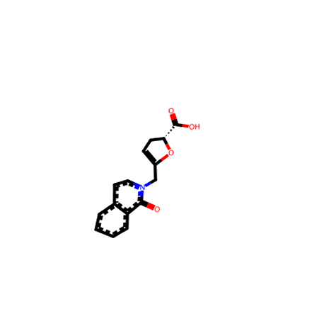 O=C(O)[C@H]1CC=C(Cn2ccc3ccccc3c2=O)O1